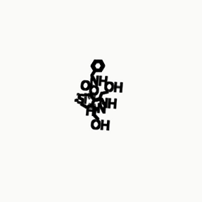 C[Si]1(C)CC[C@H]2C(CCO)=NNC(CCO)=C2[C@H](OC(=O)NCc2ccccc2)C1